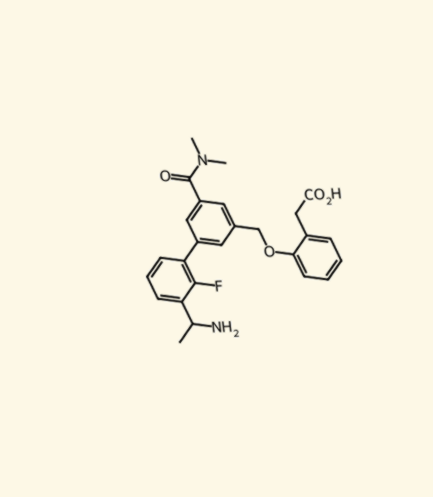 CC(N)c1cccc(-c2cc(COc3ccccc3CC(=O)O)cc(C(=O)N(C)C)c2)c1F